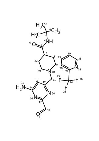 CC(C)(C)NC(=O)C1CCN(Cc2cc(N)nc(C=O)n2)CC1.FC(F)(F)c1ccccn1